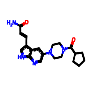 NC(=O)C=Cc1c[nH]c2ncc(N3CCN(C(=O)C4CCCC4)CC3)cc12